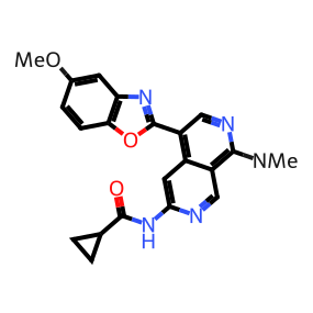 CNc1ncc(-c2nc3cc(OC)ccc3o2)c2cc(NC(=O)C3CC3)ncc12